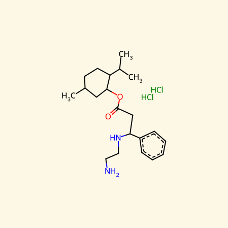 CC1CCC(C(C)C)C(OC(=O)CC(NCCN)c2ccccc2)C1.Cl.Cl